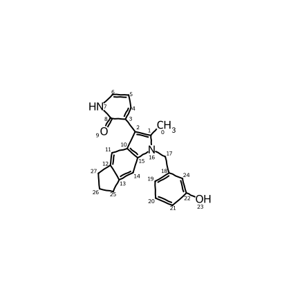 Cc1c(-c2ccc[nH]c2=O)c2cc3c(cc2n1Cc1cccc(O)c1)CCC3